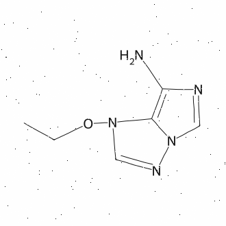 CCOn1cnn2cnc(N)c12